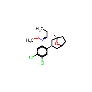 CCC(=NOC)[C@@H]1[C@H]2CCC(C[C@H]1c1ccc(Cl)c(Cl)c1)O2